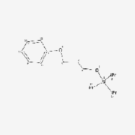 CC(C)[Si](OCCCOc1ccccc1)(C(C)C)C(C)C